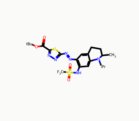 CC(C)N1c2cc(NS(=O)(=O)C(F)(F)F)c(N=Nc3nnc(C(=O)OC(C)(C)C)s3)cc2CCC1C